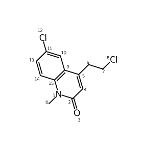 Cn1c(=O)cc(CCCl)c2cc(Cl)ccc21